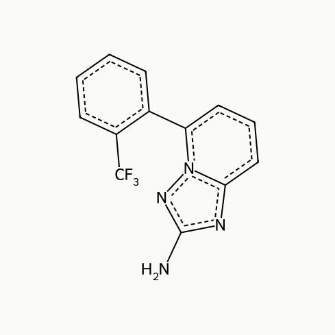 Nc1nc2cccc(-c3ccccc3C(F)(F)F)n2n1